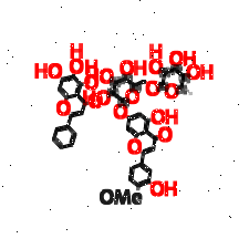 COc1ccc(-c2cc(=O)c3c(O)cc(O[C@@H]4O[C@H](CO[C@@H]5O[C@@H](C)[C@H](O)[C@@H](O)[C@H]5O)[C@@H](O)[C@H](O)[C@H]4O)cc3o2)cc1O.O=c1cc(-c2ccccc2)oc2cc(O)c(O)c(O)c12